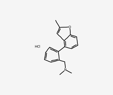 Cc1cc2c(-c3ccccc3CN(C)C)cccc2o1.Cl